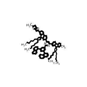 CCCCCCCCC1(CCCCCCCC)c2cc(C)ccc2-c2ccc(-c3cc(-c4ccc5c(c4)C(CCCCCCCC)(CCCCCCCC)c4cc(-c6cc7sc(C)cc7s6)ccc4-5)nc(-c4cc(-c5cccc6ccccc56)cc(-c5cccc6ccccc56)c4)n3)cc21